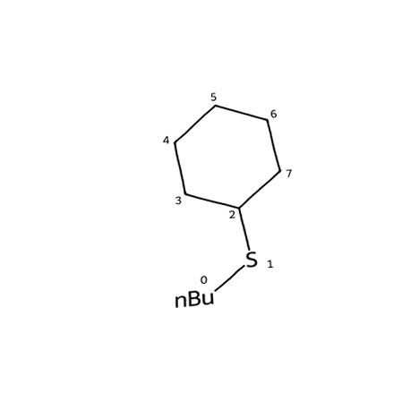 [CH2]CCCSC1CCCCC1